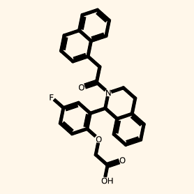 O=C(O)COc1ccc(F)cc1C1c2ccccc2CCN1C(=O)Cc1cccc2ccccc12